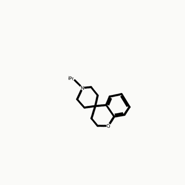 CC(C)N1CCC2(CCOc3ccccc32)CC1